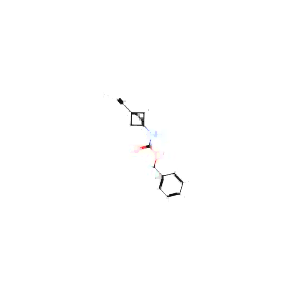 C#CC12CC(NC(=O)OCc3ccccc3)(C1)C2